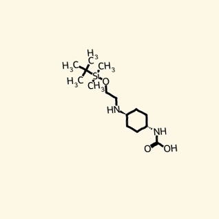 CC(C)(C)[Si](C)(C)OCCN[C@H]1CC[C@H](NC(=O)O)CC1